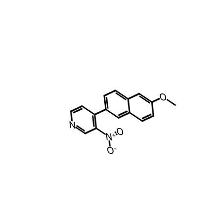 COc1ccc2cc(-c3ccncc3[N+](=O)[O-])ccc2c1